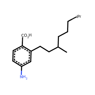 CC(C)CCCC(C)CCc1cc(N)ccc1C(=O)O